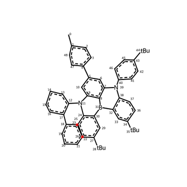 Cc1ccc(-c2cc3c4c(c2)N(c2ccccc2-c2ccccc2)c2ccc(C(C)(C)C)cc2B4c2cc(C(C)(C)C)ccc2N3c2ccc(C(C)(C)C)cc2)cc1